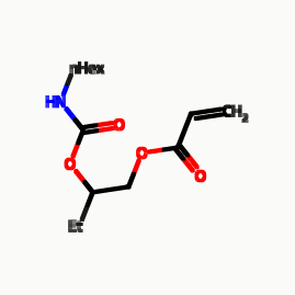 C=CC(=O)OCC(CC)OC(=O)NCCCCCC